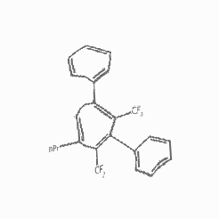 CCCc1[c]c(-c2ccccc2)c(C(F)(F)F)c(-c2ccccc2)c1C(F)(F)F